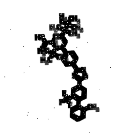 Cc1ccccc1-c1ccc(-c2nc(-c3ccc(C(CO[Si](C)(C)C(C)(C)C)N([C@H](C)C(=O)O)C(C)(C)C)cc3)no2)cc1C(F)(F)F